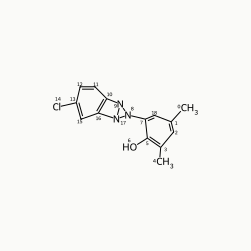 Cc1cc(C)c(O)c(-n2n3c4ccc(Cl)cc4n23)c1